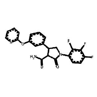 NC(=O)C1C(=O)N(c2ccc(F)c(F)c2F)CC1c1cccc(Oc2ccccn2)c1